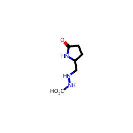 O=C(O)NNCC1CCC(=O)N1